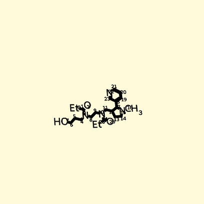 CCC(=O)N(CCCO)CCN(CC1CCN(C)C1c1cccnc1)C(=O)CC